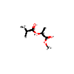 CCC(C)OC(=O)C(C)OC(=O)C(C)C(C)(C)C